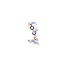 CN(C)C(=O)COc1ccn(-c2ccc(C(N)=O)c(F)c2)c(=O)c1